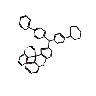 c1ccc(-c2ccc(N(c3ccc(C4CCCCC4)cc3)c3ccc4c(c3)C3(c5ccccc5O4)c4ccccc4Sc4ccccc43)cc2)cc1